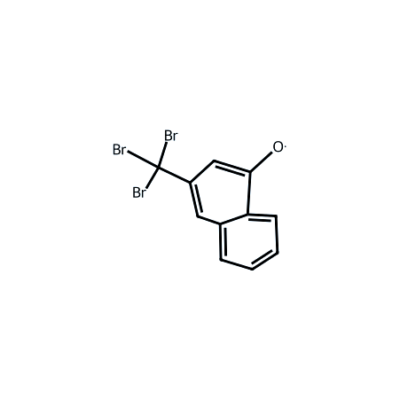 [O]c1cc(C(Br)(Br)Br)cc2ccccc12